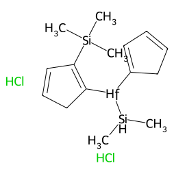 C[SiH](C)[Hf]([C]1=CC=CC1)[C]1=C([Si](C)(C)C)C=CC1.Cl.Cl